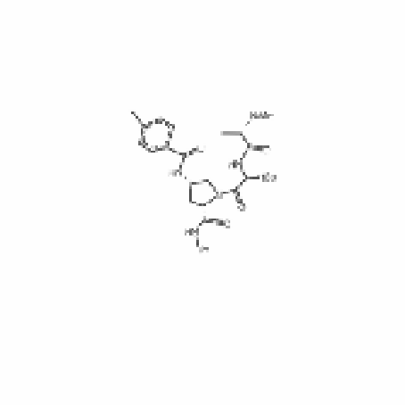 CN[C@@H](C)C(=O)N[C@H](C(=O)N1C[C@@H](NC(=O)c2ccc(C)cc2)C[C@H]1C(=O)NC(C)C)C(C)(C)C